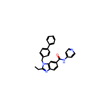 CCc1nc2ccc(C(=O)Nc3ccncc3)cc2n1Cc1ccc(-c2ccccc2)cc1